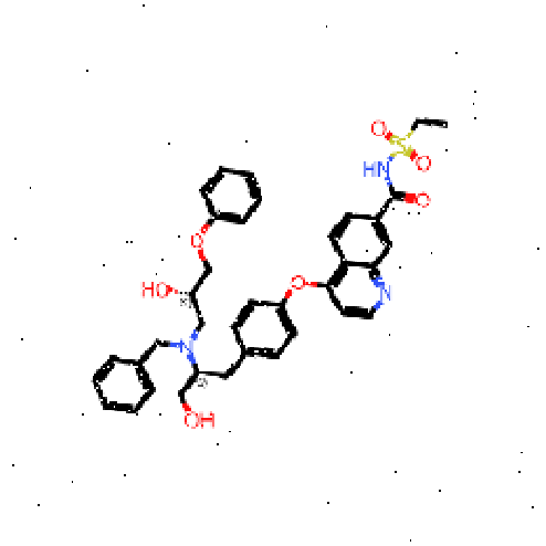 CCS(=O)(=O)NC(=O)c1ccc2c(Oc3ccc(C[C@@H](CO)N(Cc4ccccc4)C[C@H](O)COc4ccccc4)cc3)ccnc2c1